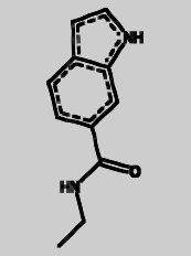 CCNC(=O)c1ccc2cc[nH]c2c1